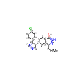 CNCc1n[nH]c(=O)c2ccc(-c3cnn(C)c3-c3ccc(Cl)cc3)cc12